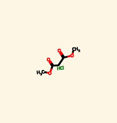 COC(=O)CC(=O)OC.Cl